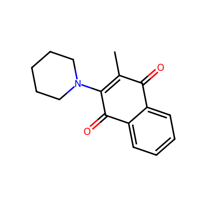 CC1=C(N2CCCCC2)C(=O)c2ccccc2C1=O